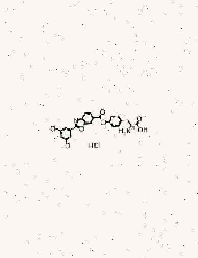 Cl.N[C@@H](Cc1ccc(OC(=O)c2ccc3nc(-c4cc(Cl)cc(Cl)c4)oc3c2)cc1)C(=O)O